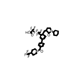 O=C(O)C(F)(F)F.O=C(c1ccc(-c2ccc(CC3CCN(C4CCCCC4)C3=O)c(C(F)(F)F)c2)cc1)N1CCC(C(F)(F)F)CC1